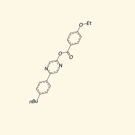 CCCCc1ccc(-c2cnc(OC(=O)c3ccc(OCC)cc3)cn2)cc1